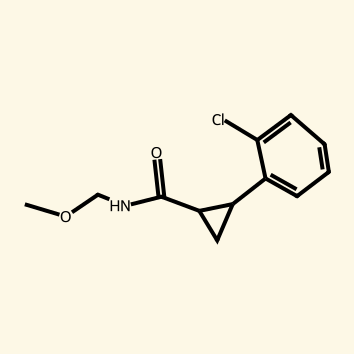 COCNC(=O)C1CC1c1ccccc1Cl